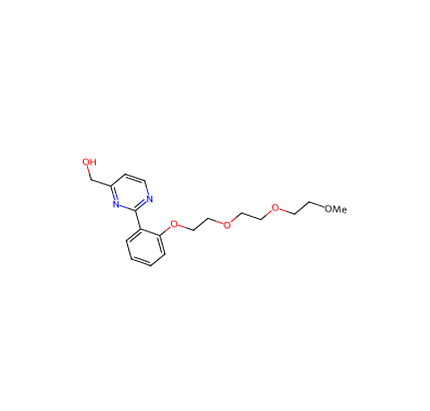 COCCOCCOCCOc1ccccc1-c1nccc(CO)n1